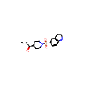 COC(=O)C1CCN(S(=O)(=O)c2ccc3c(c2)CCN3)CC1